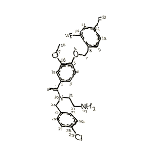 C=C(c1ccc(OCc2ccc(F)cc2F)c(OC)c1)N(CCN)Cc1ccc(Cl)cc1